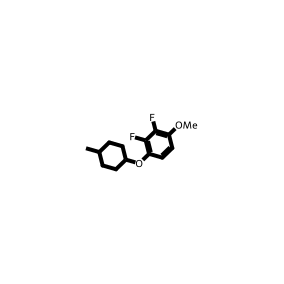 COc1ccc(OC2CCC(C)CC2)c(F)c1F